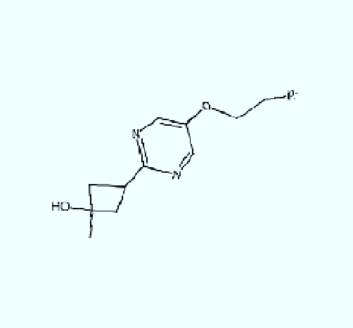 CC(C)CCOc1cnc(C2CC(C)(O)C2)nc1